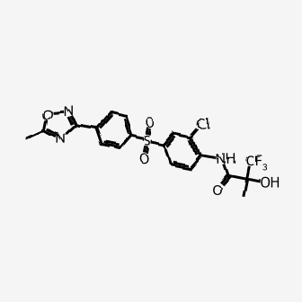 Cc1nc(-c2ccc(S(=O)(=O)c3ccc(NC(=O)C(C)(O)C(F)(F)F)c(Cl)c3)cc2)no1